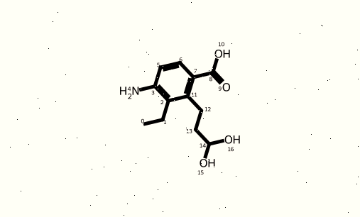 CCc1c(N)ccc(C(=O)O)c1CCC(O)O